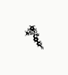 C[C@@H]1[C@H](C)[C@@H]2C[C@H]1[C@@H](C(=O)N[C@H](C#N)Cc1ccc(-c3ccc(C#N)nc3)cc1F)N2C(=O)OC(C)(C)C